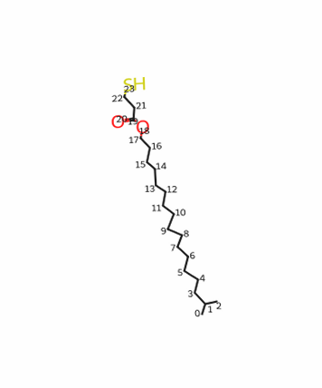 CC(C)CCCCCCCCCCCCCCCOC(=O)CCS